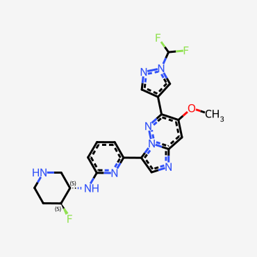 COc1cc2ncc(-c3cccc(N[C@H]4CNCC[C@@H]4F)n3)n2nc1-c1cnn(C(F)F)c1